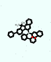 CC1(C)c2cc(-c3ccccc3)ccc2-c2c(N(c3ccc4ccccc4c3)c3ccccc3-c3ccccc3)cc3ccccc3c21